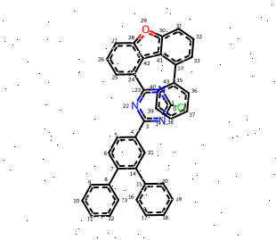 Clc1nc(-c2ccc(-c3ccccc3)c(-c3ccccc3)c2)nc(-c2cccc3oc4cccc(-c5ccccc5)c4c23)n1